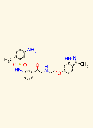 Cc1ccc(N)cc1S(=O)(=O)Nc1cccc([C@@H](O)CNCCOc2ccc3c(C)n[nH]c3c2)c1